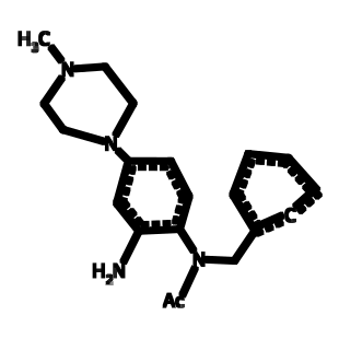 CC(=O)N(Cc1ccccc1)c1ccc(N2CCN(C)CC2)cc1N